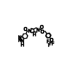 O=C(C1CCc2[nH]nnc2C1)N1C=C2CN(C(=O)OCc3ccc(OC(F)(F)F)cc3)C[C@@H]2C1